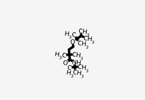 CC(C)C(C)(C)OCCC(C)(C)C(=O)NC(C)(C)C